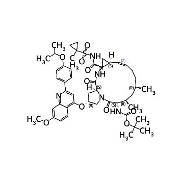 COc1ccc2c(O[C@@H]3C[C@H]4C(=O)N[C@]5(C(=O)NS(=O)(=O)C6(C)CC6)C[C@H]5/C=C\CC[C@@H](C)C[C@@H](C)[C@H](NC(=O)OC(C)(C)C)C(=O)N4C3)cc(-c3ccc(OC(C)C)cc3)nc2c1